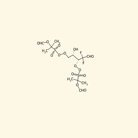 CC(C)(OC=O)S(=O)(=O)OOC[C@H](O)[C@@H](OOS(=O)(=O)C(C)(C)OC=O)C(F)(F)C=O